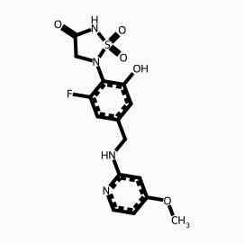 COc1ccnc(NCc2cc(O)c(N3CC(=O)NS3(=O)=O)c(F)c2)c1